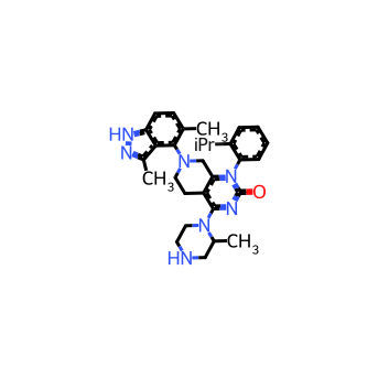 Cc1ccc2[nH]nc(C)c2c1N1CCc2c(N3CCNCC3C)nc(=O)n(-c3ccccc3C(C)C)c2C1